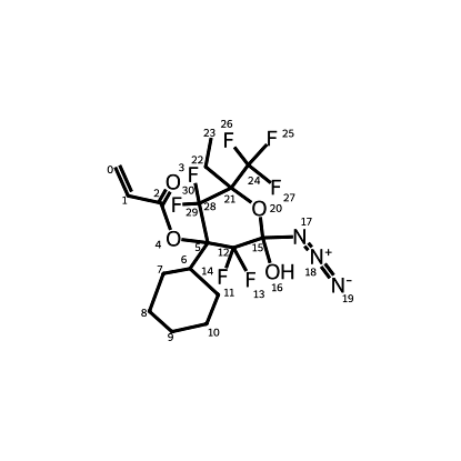 C=CC(=O)OC1(C2CCCCC2)C(F)(F)C(O)(N=[N+]=[N-])OC(CC)(C(F)(F)F)C1(F)F